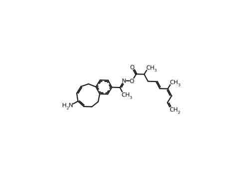 C=C/C=C(/C)C=CCC(C)C(=O)O/N=C(\C)c1ccc2c(c1)CC/C=C(N)\C=C/C2